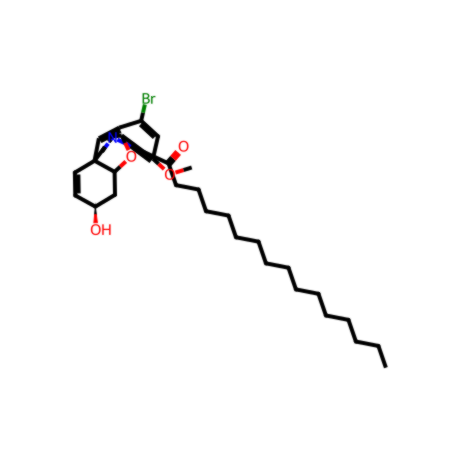 CCCCCCCCCCCCCCCC(=O)N1CCC23C=C[C@H](O)CC2Oc2c(OC)cc(Br)c(c23)C1